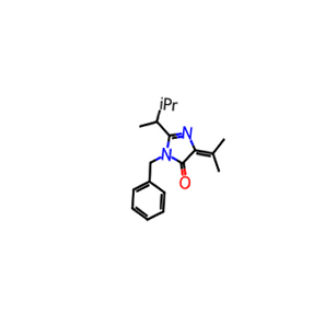 CC(C)=C1N=C(C(C)C(C)C)N(Cc2ccccc2)C1=O